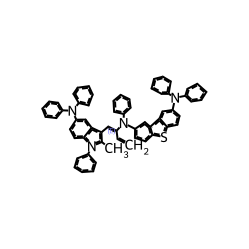 C=C/C(=C\c1c(C)n(-c2ccccc2)c2ccc(N(c3ccccc3)c3ccccc3)cc12)N(c1ccccc1)c1ccc2sc3ccc(N(c4ccccc4)c4ccccc4)cc3c2c1